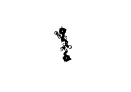 O=C1/C(=C/c2ccc(-c3ccccc3[N+](=O)[O-])o2)SC(=S)N1CCc1ccccc1